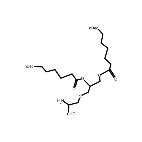 CCCCCCCCCCCCCCCC(=O)OCC(CSCC(N)C=O)OC(=O)CCCCCCCCCCCCCCC